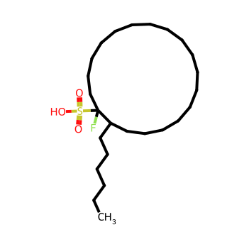 CCCCCCC1CCCCCCCCCCCCCCCCCC1(F)S(=O)(=O)O